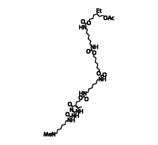 CCC(CCCOC(=O)NCCCCCCNC(=O)OCCCCCCOC(=O)NCCCCCCNC(=O)OCCc1c(C)[nH]c(NC(=O)NCCCCCCNC)nc1=O)CCOC(C)=O